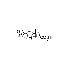 C[C@]12CC[C@H]3[C@@H](CCC4=C([N+](=O)[O-])C(=O)CC[C@@]43C)[C@@H]1CC[C@@H]2C(=O)O